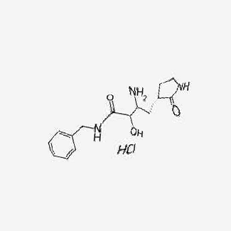 Cl.NC(C[C@@H]1CCNC1=O)C(O)C(=O)NCc1ccccc1